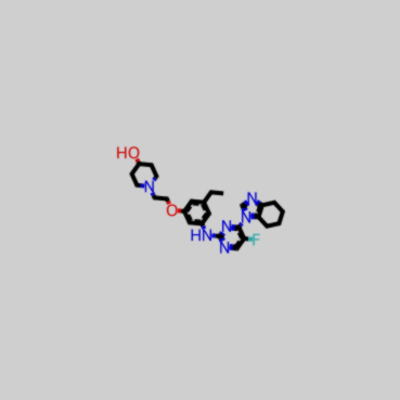 CCc1cc(Nc2ncc(F)c(-n3cnc4c3CCCC4)n2)cc(OCCN2CCC(O)CC2)c1